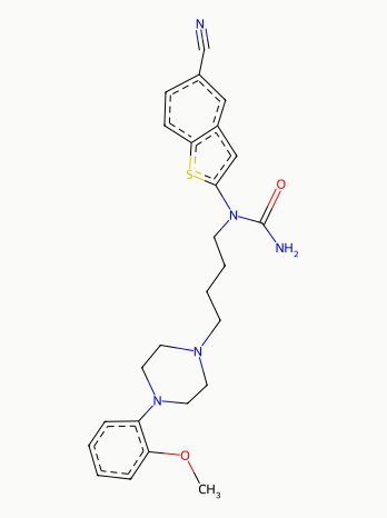 COc1ccccc1N1CCN(CCCCN(C(N)=O)c2cc3cc(C#N)ccc3s2)CC1